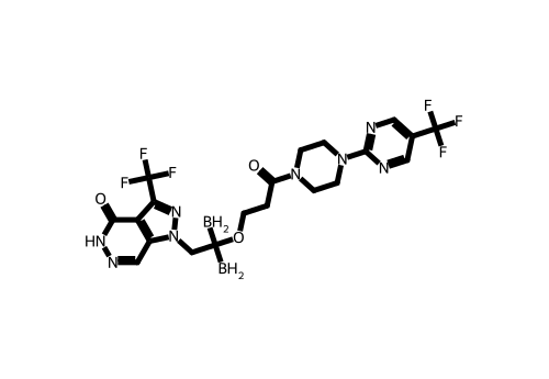 BC(B)(Cn1nc(C(F)(F)F)c2c(=O)[nH]ncc21)OCCC(=O)N1CCN(c2ncc(C(F)(F)F)cn2)CC1